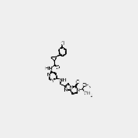 CC(C)n1ccc2nc(CNc3cc(NC(=O)C4CC4c4cccc(Cl)c4)ncn3)cn2c1=O